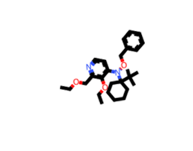 CCOCc1nccc(N(OCc2ccccc2)C2(C(C)(C)C)CCCCC2)c1OCC